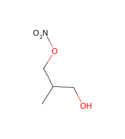 CC(CO)CO[N+](=O)[O-]